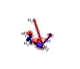 CC[C@@]1(O)C(=O)OCc2c1cc1n(c2=O)Cc2c-1nc1ccccc1c2CCN(C(=O)OCc1ccc(NC(=O)[C@H](C)NC(=O)[C@@H](NC(=O)[C@H](CCCCNC(=O)CCCCCN2C(=O)C=CC2=O)NC(=O)CCOCCOCCOCCOCCOCCOCCOCCOC)C(C)C)c(O[C@@H]2OC[C@H](O)[C@H](O)[C@H]2O)c1)C(C)C